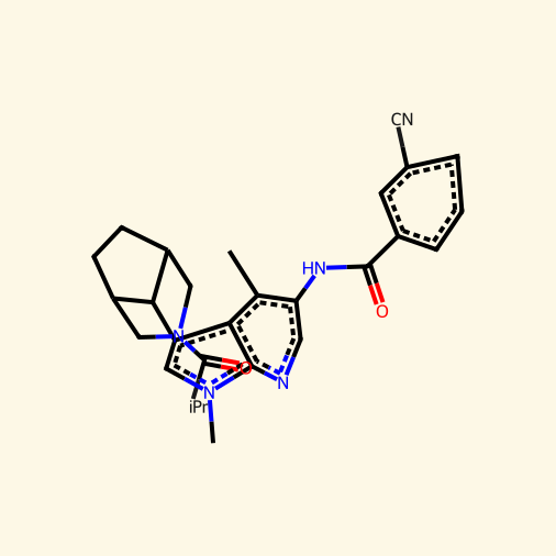 Cc1c(NC(=O)c2cccc(C#N)c2)cnc2c1c(C1C3CCC1CN(C(=O)C(C)C)C3)cn2C